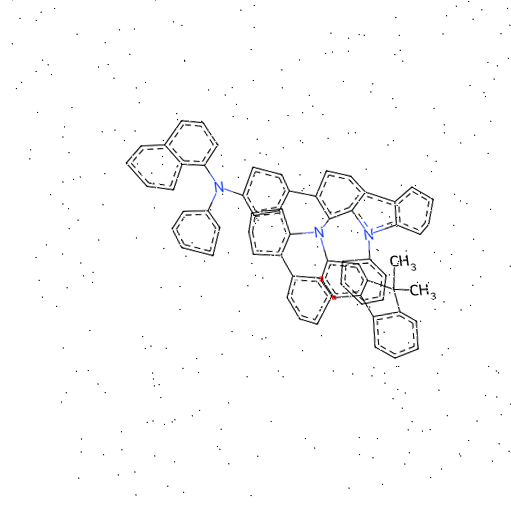 CC1(C)c2ccccc2-c2ccc(N(c3ccccc3-c3ccccc3)c3c(-c4ccc(N(c5ccccc5)c5cccc6ccccc56)cc4)ccc4c5ccccc5n(-c5ccccc5)c34)cc21